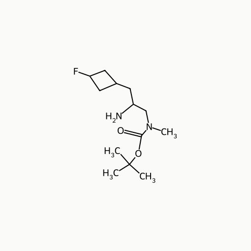 CN(CC(N)CC1CC(F)C1)C(=O)OC(C)(C)C